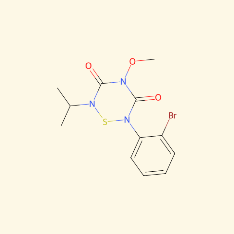 CON1C(=O)N(c2ccccc2Br)SN(C(C)C)C1=O